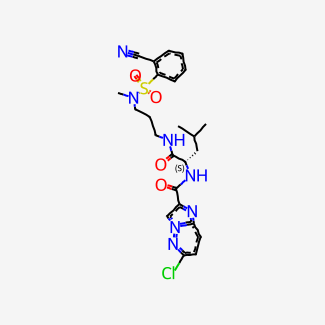 CC(C)C[C@H](NC(=O)c1cn2nc(Cl)ccc2n1)C(=O)NCCCN(C)S(=O)(=O)c1ccccc1C#N